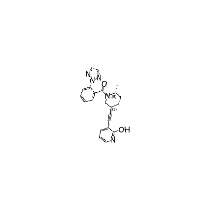 C[C@@H]1CC[C@@H](C#Cc2cccnc2O)CN1C(=O)c1ccccc1-n1nccn1